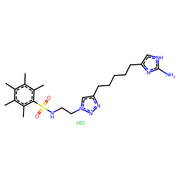 Cc1c(C)c(C)c(S(=O)(=O)NCCn2cc(CCCCCc3c[nH]c(N)n3)nn2)c(C)c1C.Cl